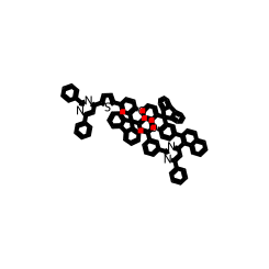 c1ccc(-c2cc(-c3ccc(-c4ccc5c(c4)C4(c6cc(-c7cccc(-c8nc(-c9ccccc9)cc(-c9c(-c%10ccc%11c(c%10)C%10(c%12ccccc%12O%11)c%11ccccc%11-c%11ccccc%11%10)ccc%10ccccc9%10)n8)c7)ccc6O5)c5ccccc5-c5ccccc54)s3)nc(-c3ccccc3)n2)cc1